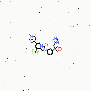 CN1CCC(c2cc(C(F)(F)F)c3cn(-c4cccc(C5(Cc6nncn6C)COC5)c4)c(=O)n3c2)CC1